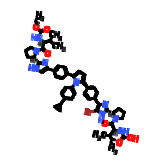 COC(=O)N[C@H](C(=O)N1CCC[C@H]1c1nc(-c2ccc(-c3ccc(-c4ccc(-c5nc([C@@H]6CCCN6C(=O)[C@@H](NC(=O)O)C(C)C)[nH]c5Br)cc4)n3-c3ccc(C4CC4)cc3)cc2)c[nH]1)C(C)C